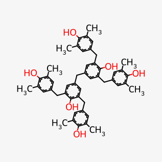 Cc1cc(Cc2cc(Cc3cc(Cc4cc(C)c(O)c(C)c4)c(O)c(Cc4cc(C)c(O)c(C)c4)c3)cc(Cc3cc(C)c(O)c(C)c3)c2O)cc(C)c1O